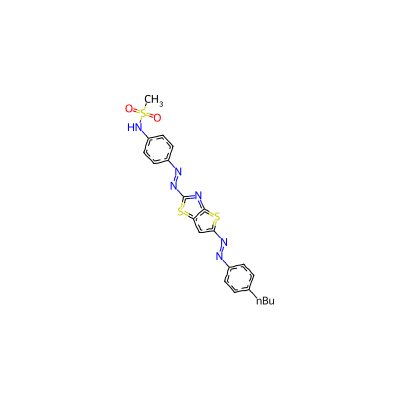 CCCCc1ccc(N=Nc2cc3sc(N=Nc4ccc(NS(C)(=O)=O)cc4)nc3s2)cc1